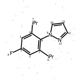 CC(C)c1cc(F)cc(C(C)C)c1-n1c[c]cn1